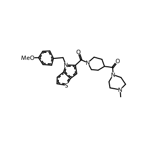 COc1ccc(Cn2c(C(=O)N3CCC(C(=O)N4CCN(C)CC4)CC3)cc3sccc32)cc1